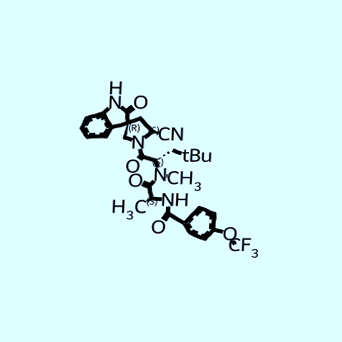 C[C@H](NC(=O)c1ccc(OC(F)(F)F)cc1)C(=O)N(C)[C@@H](CC(C)(C)C)C(=O)N1C[C@]2(C[C@H]1C#N)C(=O)Nc1ccccc12